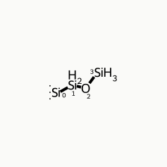 [Si][SiH2]O[SiH3]